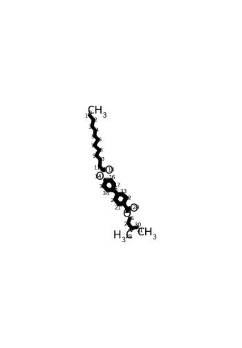 CCCCCCCCCCCCC(=O)Oc1ccc(-c2ccc(C(=O)OCCC(C)CC)cc2)cc1